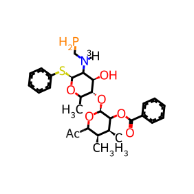 [3H]N(CP)C1[C@@H](O)[C@H](O[C@@H]2OC(C(C)=O)[C@H](C)[C@H](C)C2OC(=O)c2ccccc2)C(C)O[C@H]1Sc1ccccc1